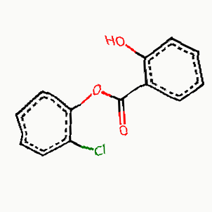 O=C(Oc1ccccc1Cl)c1ccccc1O